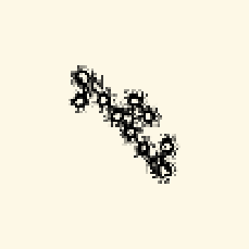 c1ccc(-n2c(-c3ccc(-c4ccc5c6ccc(-c7ccc(-c8nc9ccccc9n8-c8ccccc8)cc7)cc6c6c7ccccc7c7ccccc7c6c5c4)cc3)nc3ccccc32)cc1